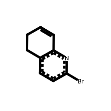 Brc1ccc2c(n1)C=CCC2